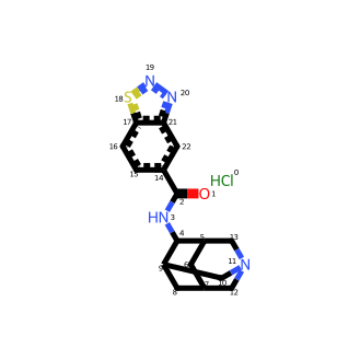 Cl.O=C(NC1C2CC3CC1CN(C3)C2)c1ccc2snnc2c1